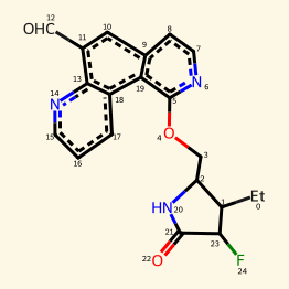 CCC1C(COc2nccc3cc(C=O)c4ncccc4c23)NC(=O)C1F